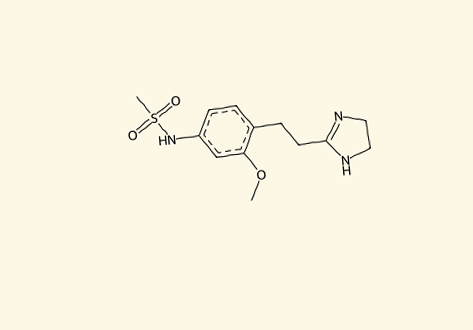 COc1cc(NS(C)(=O)=O)ccc1CCC1=NCCN1